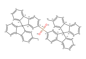 Cc1ccc2c(c1)C1(c3ccccc3-2)c2ccccc2-c2ccc(S(=O)(=O)c3ccc4c(c3)C3(c5ccccc5-c5ccc(C)cc53)c3ccccc3-4)cc21